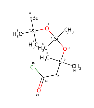 CCCC[Si](C)(C)O[Si](C)(C)O[Si](C)(C)CC(=O)Cl